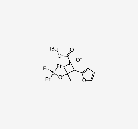 CC[Si](CC)(CC)OC1(C)C[N+]([O-])(C(=O)OC(C)(C)C)C1c1ccco1